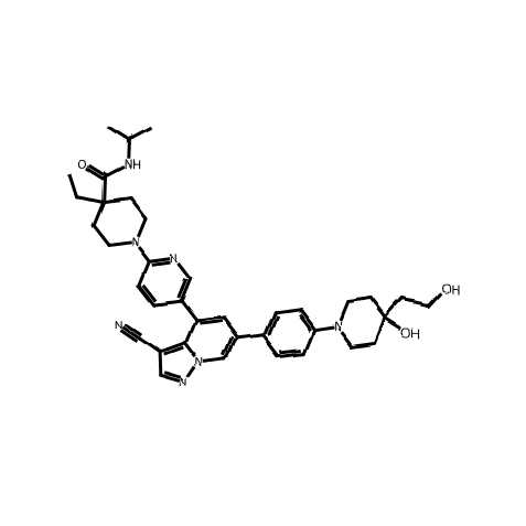 CCC1(C(=O)NC(C)C)CCN(c2ccc(-c3cc(-c4ccc(N5CCC(O)(CCO)CC5)cc4)cn4ncc(C#N)c34)cn2)CC1